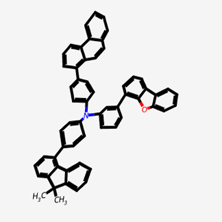 CC1(C)c2ccccc2-c2c(-c3ccc(N(c4ccc(-c5cccc6c5ccc5ccccc56)cc4)c4cccc(-c5cccc6c5oc5ccccc56)c4)cc3)cccc21